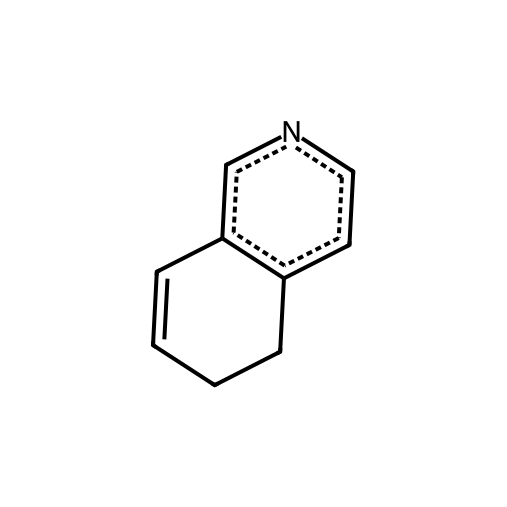 C1=Cc2cnccc2CC1